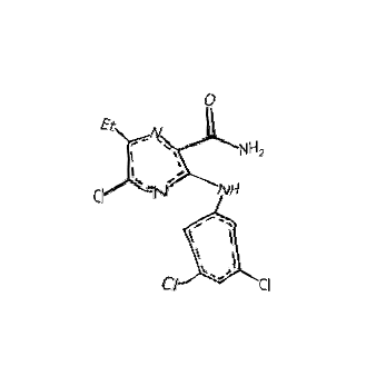 CCc1nc(C(N)=O)c(Nc2cc(Cl)cc(Cl)c2)nc1Cl